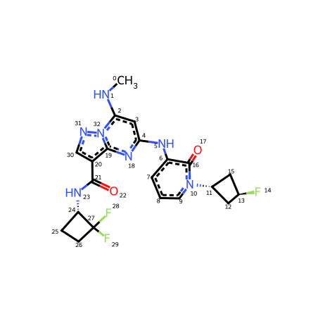 CNc1cc(Nc2cccn([C@H]3C[C@H](F)C3)c2=O)nc2c(C(=O)N[C@H]3CCC3(F)F)cnn12